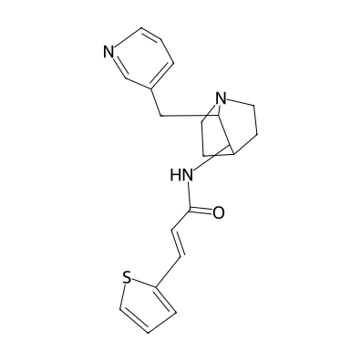 O=C(C=Cc1cccs1)NC1C2CCN(CC2)C1Cc1cccnc1